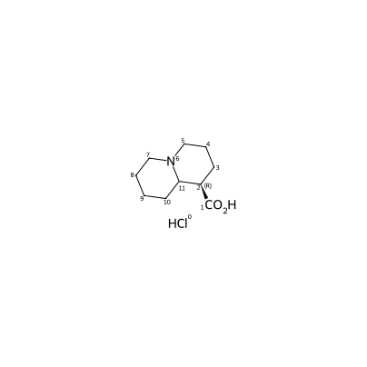 Cl.O=C(O)[C@@H]1CCCN2CCCCC12